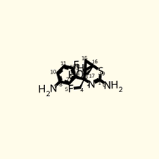 NC1=N[C@](CF)(c2cc(N)ccc2F)[C@@H]2C[C@]2(CO)S1